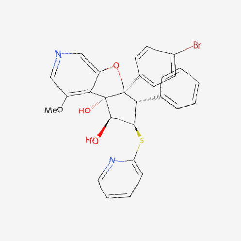 COc1cncc2c1[C@]1(O)[C@H](O)[C@H](Sc3ccccn3)[C@@H](c3ccccc3)[C@]1(c1ccc(Br)cc1)O2